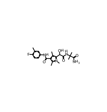 Cc1cc(NC(=O)c2c(C)c(C(O)C(=O)NC(C)(C)C(N)=O)n(C)c2C)ccc1F